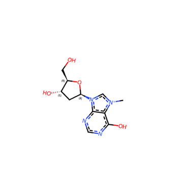 C[n+]1cn([C@H]2C[C@H](O)[C@@H](CO)O2)c2ncnc(O)c21